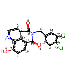 O=C1c2ccnc3c(O)ccc(c23)C(=O)N1Cc1ccc(Cl)c(Cl)c1